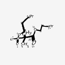 CCP(=O)(OCCC(C)C)C(C)(C)C(=O)OCCC(C)C